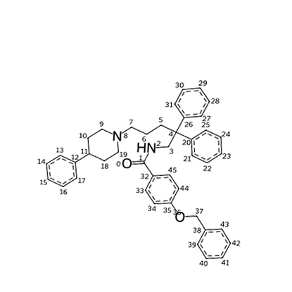 O=C(NCC(CCCN1CCC(c2ccccc2)CC1)(c1ccccc1)c1ccccc1)c1ccc(OCc2ccccc2)cc1